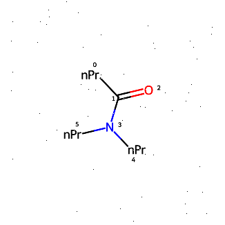 CCCC(=O)N(CCC)CCC